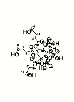 CC(O)CCC(=O)OC1C(OC(=O)CCC(C)O)C(OP(=O)(O)O)C(OP(=O)(O)O)C(OP(=O)(O)O)C1OC(=O)CCC(C)O